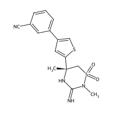 CN1C(=N)N[C@](C)(c2cc(-c3cccc(C#N)c3)cs2)CS1(=O)=O